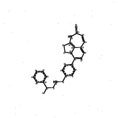 CC(CNCc1ccc(C2=NC=C3C=CC(=O)NC4=C3N2CC4)cc1)c1ccccc1